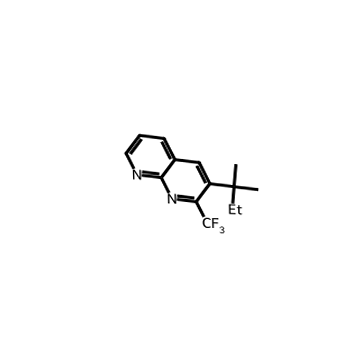 CCC(C)(C)c1cc2cccnc2nc1C(F)(F)F